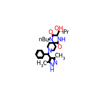 CCCCN1C(=O)[C@H]([C@H](O)C(C)C)NC(=O)C12CCN(C(c1ccccc1)c1c(C)n[nH]c1C)CC2